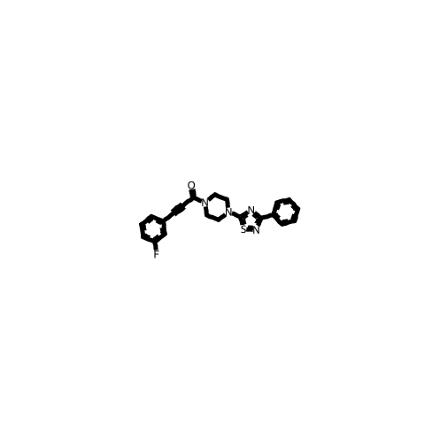 O=C(C#Cc1cccc(F)c1)N1CCN(c2nc(-c3ccccc3)ns2)CC1